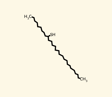 CCCCCCCCCCCCCCCCCCC(S)CCCCCCCCC